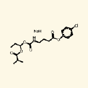 CCC(OC(=O)NCCCC(=O)Oc1ccc(Cl)cc1)OC(=O)C(C)C.[NaH]